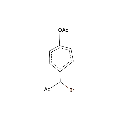 CC(=O)Oc1ccc(C(Br)C(C)=O)cc1